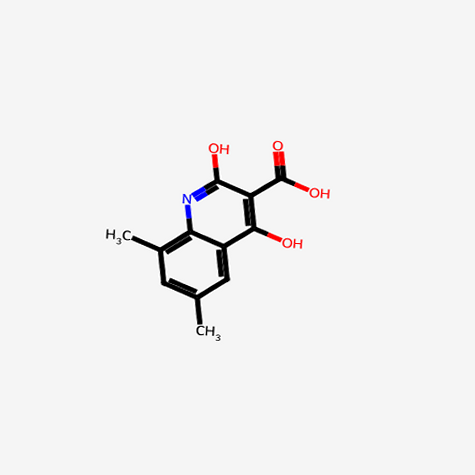 Cc1cc(C)c2nc(O)c(C(=O)O)c(O)c2c1